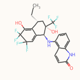 CC[C@@H]1C[C@@](O)(C(F)(F)F)[C@@H](Nc2cccc3[nH]c(=O)ccc23)C2=CC(F)(F)C(F)(F)C(O)=C21